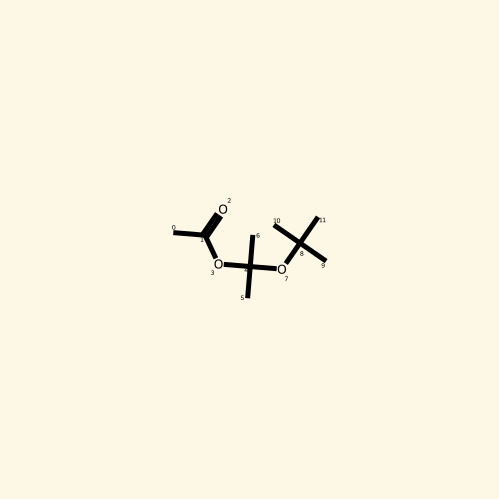 CC(=O)OC(C)(C)OC(C)(C)C